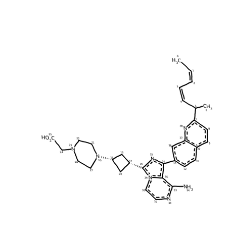 C/C=C\C=C/C(C)c1ccc2ccc(-c3nc([C@H]4C[C@@H](N5CCN(CC(=O)O)CC5)C4)n4ccnc(N)c34)cc2n1